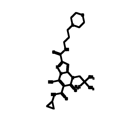 CC(C)(C)Cn1c(=O)c(C(=O)NC2CC2)c(O)n2nc(C(=O)NCCCN3CCOCC3)cc12